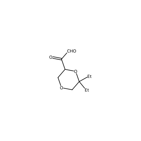 CCC1(CC)COCC(C(=O)C=O)O1